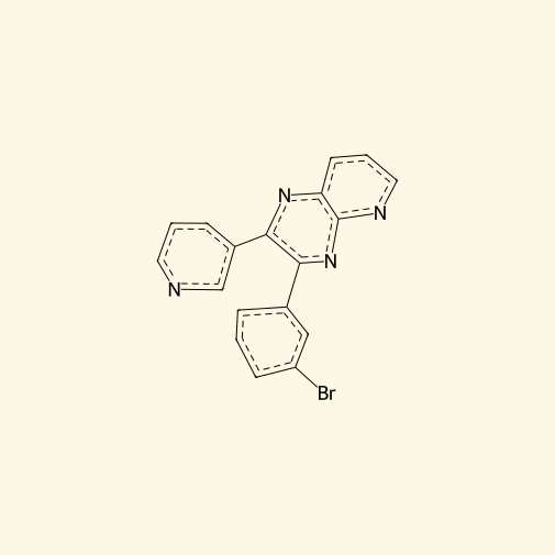 Brc1cccc(-c2nc3ncccc3nc2-c2cccnc2)c1